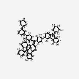 c1ccc(-c2cccc(-c3ccc(N(c4ccc(-c5ccc6c(c5)c5ccccc5n6-c5ccccc5)cc4)c4ccc5c(c4)C(c4ccccc4)(c4ccccc4)c4ccccc4-5)cc3)c2)cc1